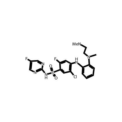 CNCCN(C)c1ccccc1Nc1cc(F)c(S(=O)(=O)Nc2ncc(F)cn2)cc1Cl